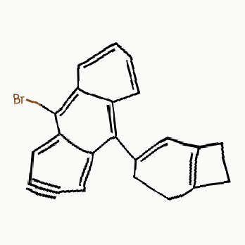 Brc1c2cc#ccc2c(C2=CC3=C(CC2)CC3)c2ccccc12